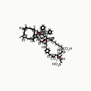 CC[C@H]1c2cc3[nH]c4c(c3C)C(=O)C(C(=O)OC)c4c3nc(cc4[nH]c(cc(n2)[C@@H]1C)c(C(C)=O)c4C)[C@@H](C)[C@@H]3CCC(=O)NC(CCC(=O)NNC(=O)OCCSSC[C@H](NC(=O)[C@H](CC(=O)NCCS(=O)(=O)O)NC(=O)CC[C@H](NC(=O)c1ccc(NCc2cnc3nc(N)[nH]c(=O)c3n2)cc1)C(=O)O)C(=O)O)P(=O)(Oc1ccccc1)Oc1ccccc1